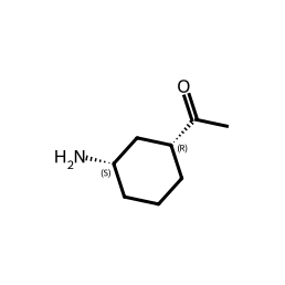 CC(=O)[C@@H]1CCC[C@H](N)C1